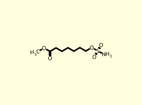 COC(=O)CCCCCCOS(N)(=O)=O